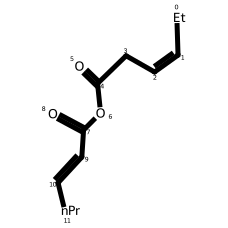 CC/C=C\CC(=O)OC(=O)C=CCCC